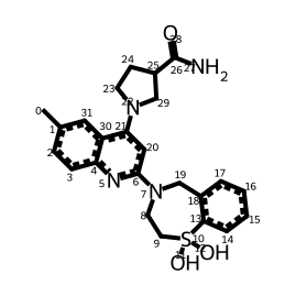 Cc1ccc2nc(N3CCS(O)(O)c4ccccc4C3)cc(N3CCC(C(N)=O)C3)c2c1